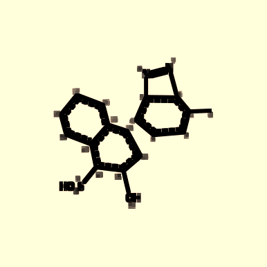 Cc1cccc2c1N=N2.O=S(=O)(O)c1c(O)ccc2ccccc12